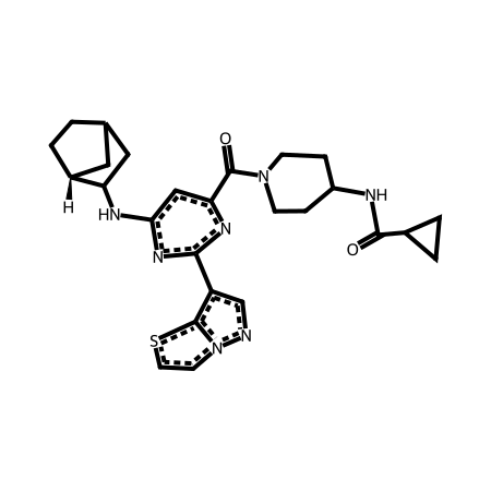 O=C(NC1CCN(C(=O)c2cc(NC3CC4CC[C@@H]3C4)nc(-c3cnn4ccsc34)n2)CC1)C1CC1